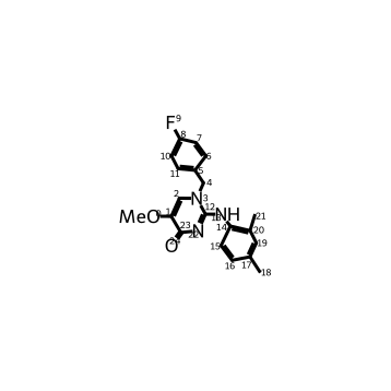 COc1cn(Cc2ccc(F)cc2)c(Nc2ccc(C)cc2C)nc1=O